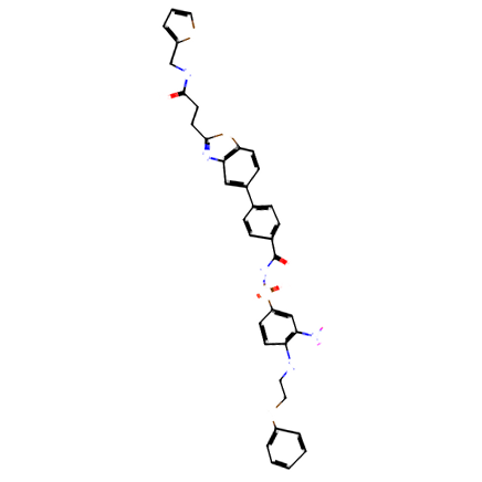 O=C(CCc1nc2cc(-c3ccc(C(=O)NS(=O)(=O)c4ccc(NCCSc5ccccc5)c([N+](=O)[O-])c4)cc3)ccc2s1)NCc1cccs1